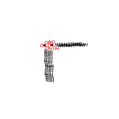 O=C(O)O.O=C(O)O.[NaH].[NaH].[NaH].[NaH].[NaH].[NaH].[NaH].[NaH].[NaH].[NaH].[NaH].[NaH].[NaH].[NaH].[NaH].[NaH].[NaH].[NaH].[NaH].[NaH].[NaH].[NaH].[NaH].[NaH].[NaH].[NaH]